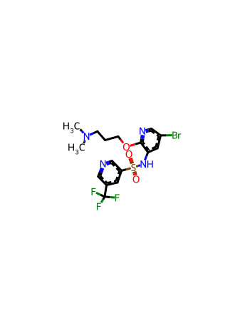 CN(C)CCCOc1ncc(Br)cc1NS(=O)(=O)c1cncc(C(F)(F)F)c1